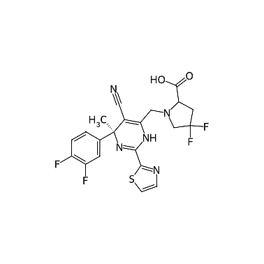 C[C@@]1(c2ccc(F)c(F)c2)N=C(c2nccs2)NC(CN2CC(F)(F)CC2C(=O)O)=C1C#N